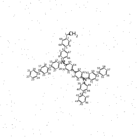 C=Cc1ccc(-c2ccc(N(c3ccc(-c4ccc(-c5ccccc5)cc4)cc3)c3ccc(-c4ccc(N(c5ccc(-c6ccccc6)cc5)c5ccc(-c6ccccc6)cc5)cc4)cc3)cc2)cc1